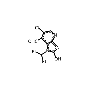 CCC(CC)n1c(O)nc2ncc(Cl)c(C=O)c21